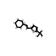 CC(C)(C)c1ccc(/C=C/C2CCCCC2)s1